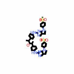 CC(C(=O)C(C)c1ccc(Nc2ncc3ccn(-c4ccc(S(C)(=O)=O)cc4)c3n2)cc1)c1ccc(Nc2ncc3ccn(-c4ccc(S(C)(=O)=O)cc4)c3n2)cc1